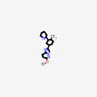 CCOc1ccc2nc(-c3ccc(C(F)(F)F)c(-c4ccccn4)c3)cn2n1